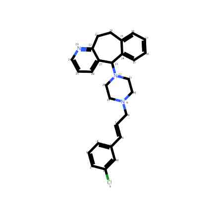 Clc1cccc(C=CCN2CCN(C3c4ccccc4CCc4ncccc43)CC2)c1